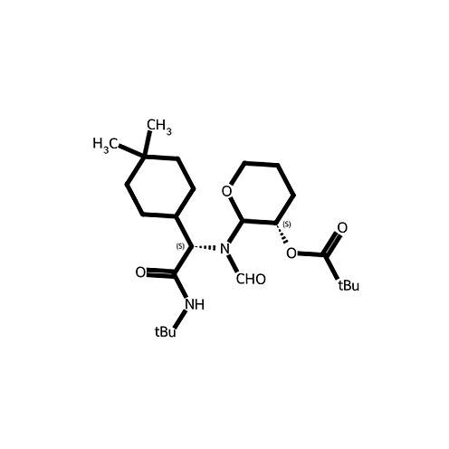 CC1(C)CCC([C@@H](C(=O)NC(C)(C)C)N(C=O)C2OCCC[C@@H]2OC(=O)C(C)(C)C)CC1